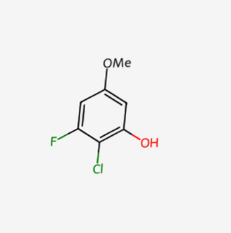 COc1cc(O)c(Cl)c(F)c1